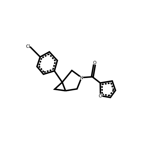 O=C(c1ccco1)N1CC2CC2(c2ccc(Cl)cc2)C1